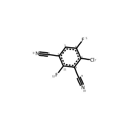 N#Cc1cc(F)c(Cl)c(C#N)c1F